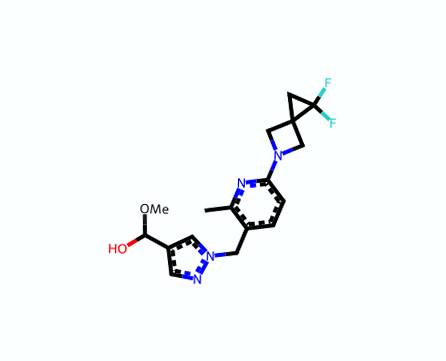 COC(O)c1cnn(Cc2ccc(N3CC4(C3)CC4(F)F)nc2C)c1